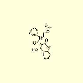 CC(=O)OCCN(C(=O)c1c(O)c2ccccc2n(C)c1=O)c1ccccc1